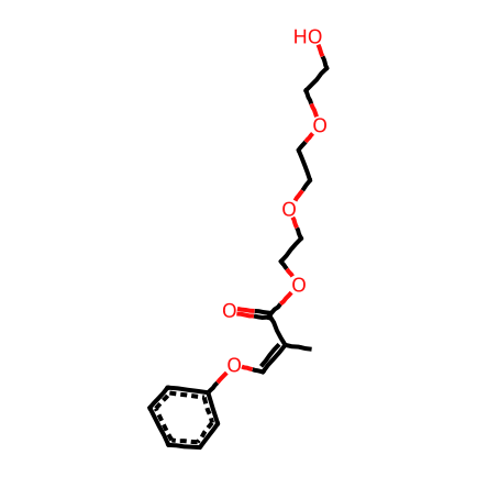 CC(=COc1ccccc1)C(=O)OCCOCCOCCO